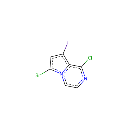 Clc1nccn2c(Br)cc(I)c12